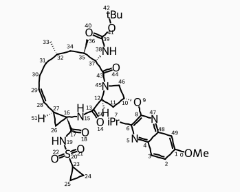 COc1ccc2nc(C(C)C)c(O[C@@H]3C[C@H]4C(=O)N[C@]5(C(=O)NS(=O)(=O)C6CC6)C[C@H]5/C=C\CC[C@H](C)C[C@@H](C)[C@H](NC(=O)OC(C)(C)C)C(=O)N4C3)nc2c1